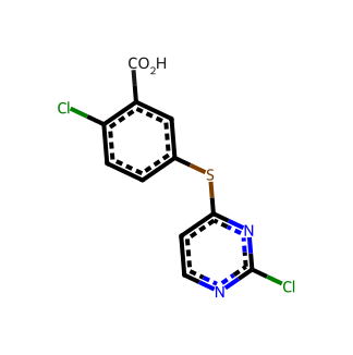 O=C(O)c1cc(Sc2ccnc(Cl)n2)ccc1Cl